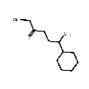 CCCCCCCCCC(=O)CCC(C)C1CCCCC1